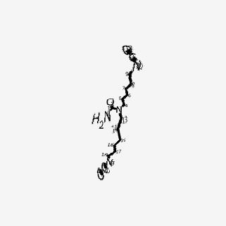 NC(=O)N(CCCCCCN=C=O)CCCCCCN=C=O